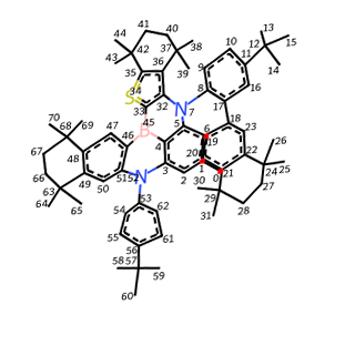 Cc1cc2c3c(c1)N(c1ccc(C(C)(C)C)cc1-c1ccc4c(c1)C(C)(C)CCC4(C)C)c1c(sc4c1C(C)(C)CCC4(C)C)B3c1cc3c(cc1N2c1ccc(C(C)(C)C)cc1)C(C)(C)CCC3(C)C